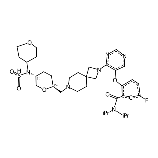 CC(C)N(C(=O)c1cc(F)ccc1Oc1cncnc1N1CC2(CCN(C[C@@H]3CC[C@@H](N(C4CCOCC4)[SH](=O)=O)CO3)CC2)C1)C(C)C